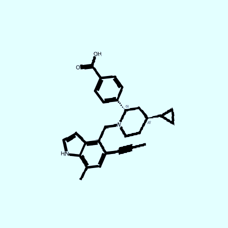 CC#Cc1cc(C)c2[nH]ccc2c1CN1CC[C@H](C2CC2)C[C@H]1c1ccc(C(=O)O)cc1